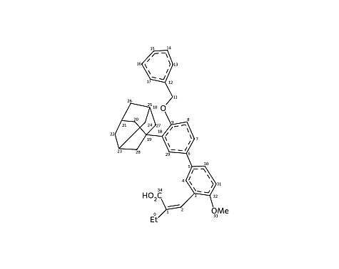 CCC(=Cc1cc(-c2ccc(OCc3ccccc3)c(C34CC5CC(CC(C5)C3)C4)c2)ccc1OC)C(=O)O